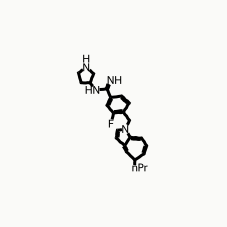 CCCC1C=CC=c2c(ccn2Cc2ccc(C(=N)NC3CCNC3)cc2F)=C1